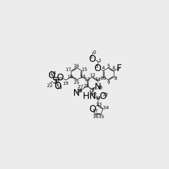 COCOc1cc(F)ccc1-c1cc(-c2cccc(COS(C)(=O)=O)c2)c(C#N)c(NC(=O)c2ccco2)n1